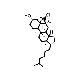 CC(C)CCC[C@@H](C)[C@H]1CC[C@H]2[C@@H]3C[C@](O)(CCl)[C@@]4(O)C[C@@H](O)CC[C@]4(C)[C@H]3CC[C@]12C